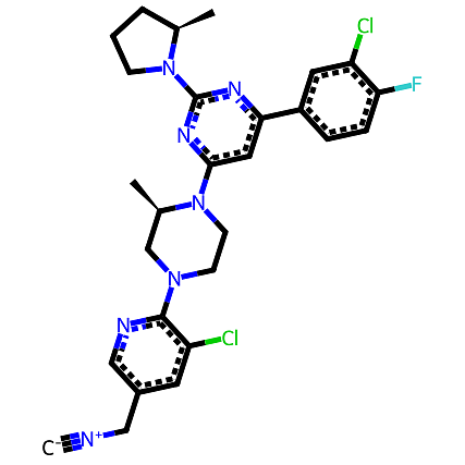 [C-]#[N+]Cc1cnc(N2CCN(c3cc(-c4ccc(F)c(Cl)c4)nc(N4CCC[C@H]4C)n3)[C@H](C)C2)c(Cl)c1